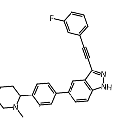 CN1CCCCC1c1[c]cc(-c2ccc3[nH]nc(C#Cc4cccc(F)c4)c3c2)cc1